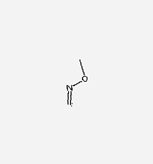 [C]=NOC